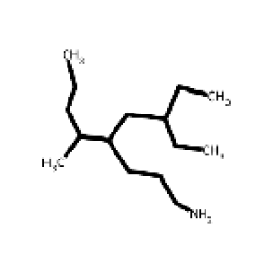 CCCC(C)C(CCCN)CC(CC)CC